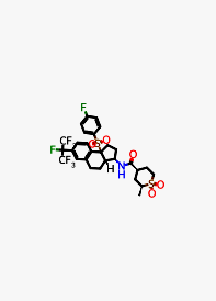 C[C@H]1C[C@@H](C(=O)N[C@@H]2CC[C@@]3(S(=O)(=O)c4ccc(F)cc4)c4ccc(C(F)(C(F)(F)F)C(F)(F)F)cc4CC[C@@H]23)CCS1(=O)=O